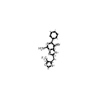 Nc1nc(-c2ccccc2)c(Br)c2nc(Cc3ncoc3C(F)(F)F)nn12